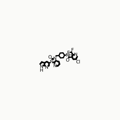 O=C(NC1CCC(Cn2c(=O)n(-c3cnc4[nH]ccc4c3)c3ncccc32)CC1)c1cc(Cl)cnc1C(F)F